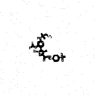 CCn1nc(C(=O)NC[C@H]2CC[C@H](S(C)(=O)=O)CC2)c(C)c1-c1cnc(NC(C)(C)CC(F)(F)F)cc1OC(F)F